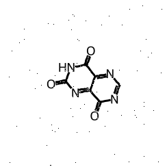 O=C1N=C2C(=O)N=CN=C2C(=O)N1